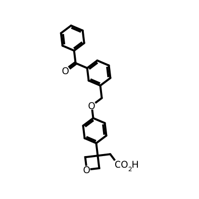 O=C(O)CC1(c2ccc(OCc3cccc(C(=O)c4ccccc4)c3)cc2)COC1